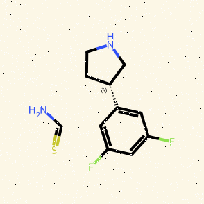 Fc1cc(F)cc([C@@H]2CCNC2)c1.NC=S